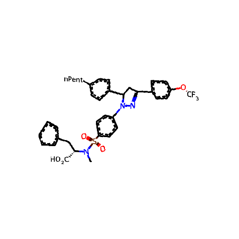 CCCCCc1ccc(C2CC(c3ccc(OC(F)(F)F)cc3)=NN2c2ccc(S(=O)(=O)N(C)[C@@H](Cc3ccccc3)C(=O)O)cc2)cc1